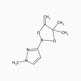 C=C1OB(c2ccn(C)n2)OC1(C)C